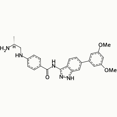 COc1cc(OC)cc(-c2ccc3c(NC(=O)c4ccc(NC[C@@H](C)N)cc4)n[nH]c3c2)c1